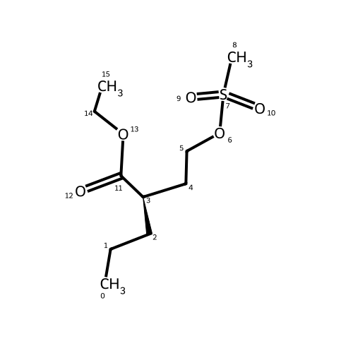 CCC[C@H](CCOS(C)(=O)=O)C(=O)OCC